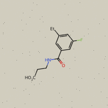 CCc1cc(F)cc(C(=O)NCCC(=O)O)c1